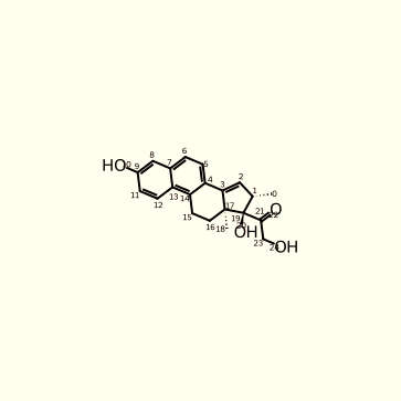 C[C@H]1C=C2c3ccc4cc(O)ccc4c3CC[C@]2(C)[C@@]1(O)C(=O)CO